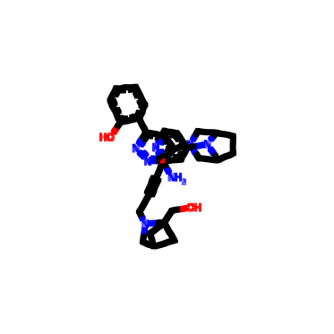 Nc1nnc(-c2ccccc2O)cc1N1CC2CCC(C1)N2c1ccnc(C#CCN2CC3CC2(CO)C3)c1